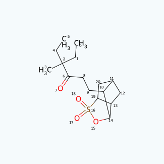 CCC(C)(CC)C(=O)CCC1C2CC3C1OS(=O)(=O)C3C2